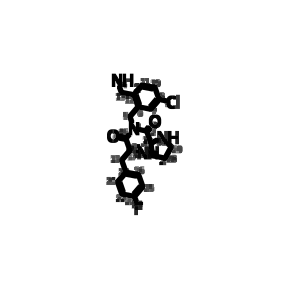 C[C@@]1(C(=O)N(Cc2cc(Cl)ccc2CN)C(=O)[C@H](N)Cc2ccc(F)cc2)CCCN1